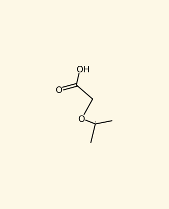 C[C](C)OCC(=O)O